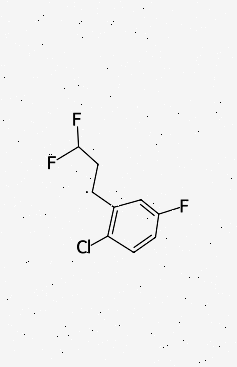 Fc1ccc(Cl)c([CH]CC(F)F)c1